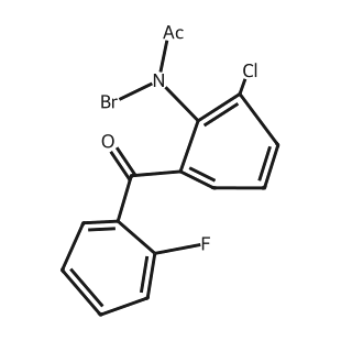 CC(=O)N(Br)c1c(Cl)cccc1C(=O)c1ccccc1F